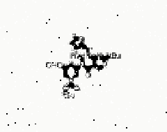 CC(C)CN(C(=O)c1cnc(C(C)(C)C)nc1NCc1ccco1)C1CC(C=O)CN(C(=O)OC(C)(C)C)C1